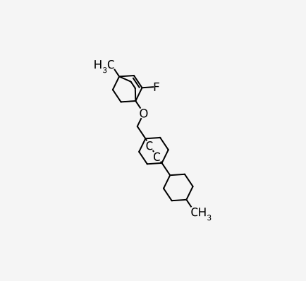 CC1CCC(C23CCC(COC45CCC(C)(C=C4F)CC5)(CC2)CC3)CC1